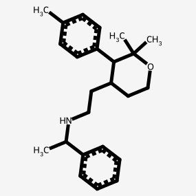 Cc1ccc(C2C(CCNC(C)c3ccccc3)CCOC2(C)C)cc1